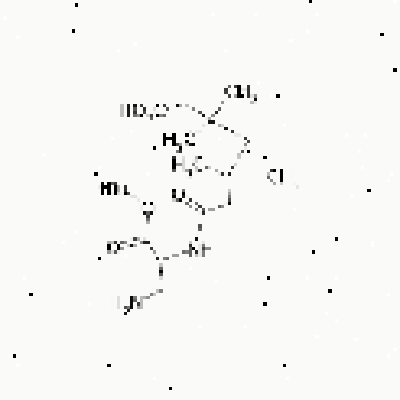 CC(C)(CC(=O)O)CC(C)(C)CC(=O)NC(CN)C(=O)OC(C)(C)C